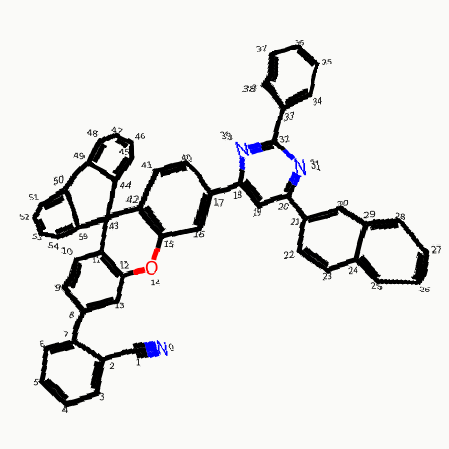 N#Cc1ccccc1-c1ccc2c(c1)Oc1cc(-c3cc(-c4ccc5ccccc5c4)nc(-c4ccccc4)n3)ccc1C21c2ccccc2-c2ccccc21